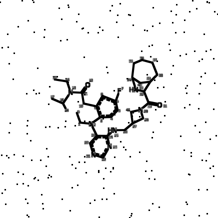 CCN(c1ccc(F)cc1CC(=O)N(CC)C(C)C)c1cncnc1NCC1CN(C(=O)C2NC3CCCCC2C3)C1